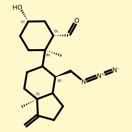 C=C1CCC2[C@H](CN=[N+]=[N-])C([C@@]3(C)CC[C@H](O)C[C@@H]3C=O)CC[C@]12C